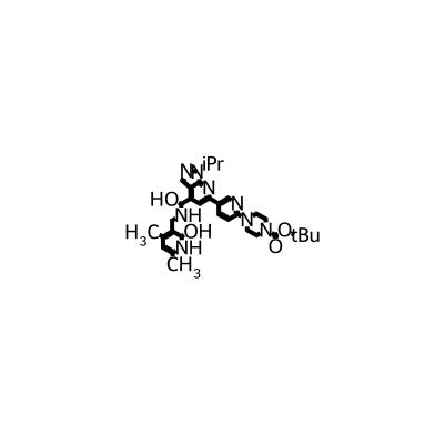 CC1=CC(C)=C(CNC(O)c2cc(-c3ccc(N4CCN(C(=O)OC(C)(C)C)CC4)nc3)nc3c2cnn3C(C)C)C(O)N1